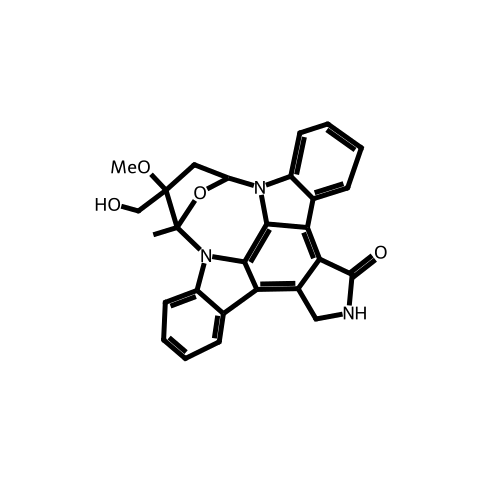 COC1(CO)CC2OC1(C)n1c3ccccc3c3c4c(c5c6ccccc6n2c5c31)C(=O)NC4